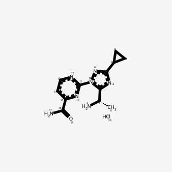 C[C@H](N)c1nc(C2CC2)nn1-c1nccc(C(N)=O)n1.Cl